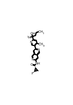 [2H]C(O)(CCC)c1cc(C)c(-c2cc3cnc(NC(=O)[C@@H]4C[C@@H]4F)cc3cn2)cn1